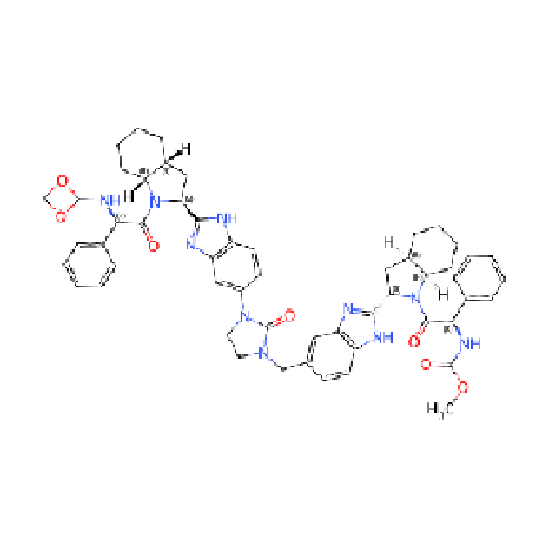 COC(=O)N[C@@H](C(=O)N1[C@@H]2CCCC[C@@H]2C[C@H]1c1nc2cc(CN3CCN(c4ccc5[nH]c([C@@H]6C[C@H]7CCCC[C@H]7N6C(=O)[C@H](NC6OCO6)c6ccccc6)nc5c4)C3=O)ccc2[nH]1)c1ccccc1